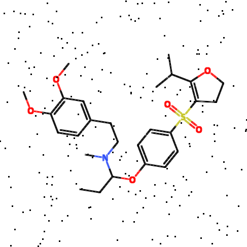 CCC(Oc1ccc(S(=O)(=O)C2=C(C(C)C)OCC2)cc1)N(C)CCc1ccc(OC)c(OC)c1